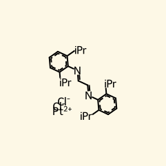 CC(C)c1cccc(C(C)C)c1N=CC=Nc1c(C(C)C)cccc1C(C)C.[Cl-].[Cl-].[Pt+2]